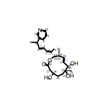 C/C(=C\C=C\C(C)c1cccnc1)[C@H]1OC(=O)C[C@H](O)CC[C@@](C)(O)[C@@H](O)/C=C/[C@@H]1C